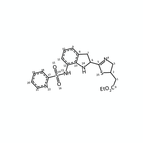 CCOC(=O)CC1CN=C(C2Cc3cccc(NS(=O)(=O)c4ccccn4)c3N2)S1